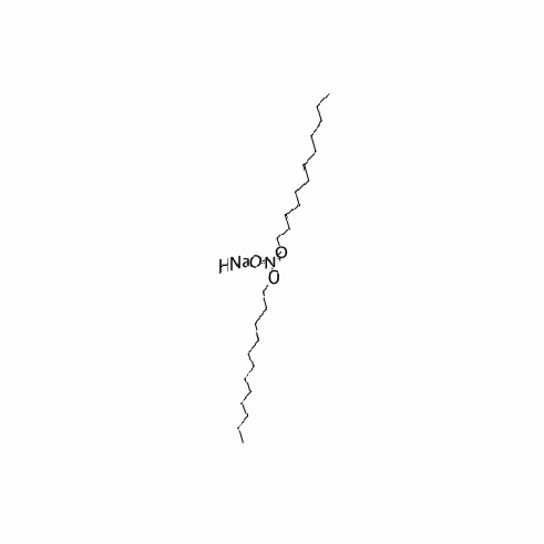 CCCCCCCCCCCCO[N+](=O)OCCCCCCCCCCCC.[NaH]